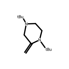 C=C1CN(C(C)(C)C)CCN1C(C)(C)C